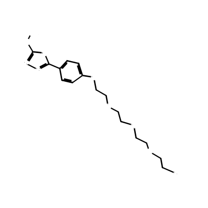 CSc1nnc(-c2ccc(OCCOCCOCCOCCN)cc2)o1